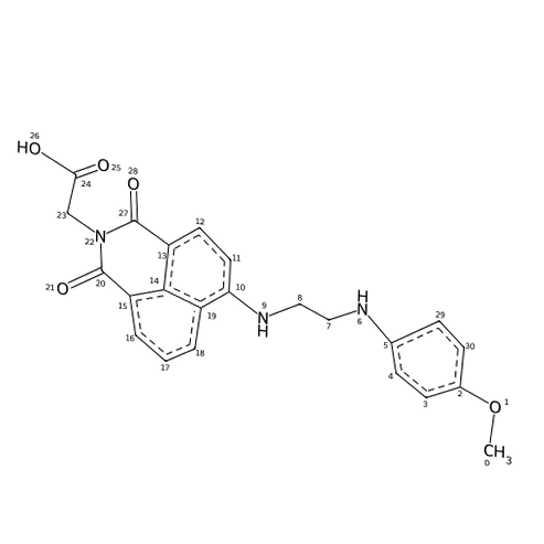 COc1ccc(NCCNc2ccc3c4c(cccc24)C(=O)N(CC(=O)O)C3=O)cc1